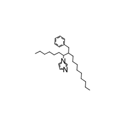 CCCCCCCCCC(Cc1ccccc1)C(CCCCCC)n1ccnc1